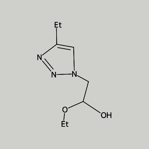 CCOC(O)Cn1cc(CC)nn1